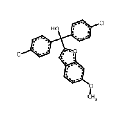 COc1ccc2cc(C(O)(c3ccc(Cl)cc3)c3ccc(Cl)cc3)oc2c1